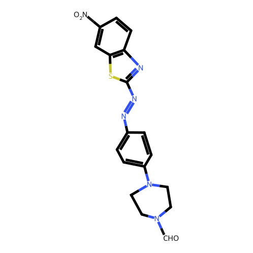 O=CN1CCN(c2ccc(N=Nc3nc4ccc([N+](=O)[O-])cc4s3)cc2)CC1